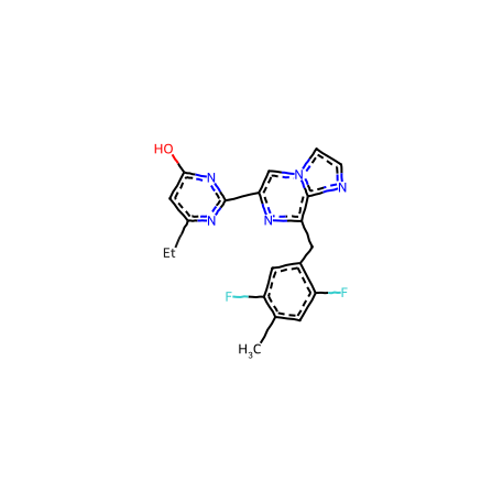 CCc1cc(O)nc(-c2cn3ccnc3c(Cc3cc(F)c(C)cc3F)n2)n1